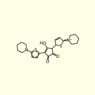 O=C1C(=O)C(C2C=CC(=[N+]3CCCCC3)S2)C(O)=C1c1ccc(N2CCCCC2)s1